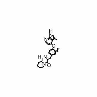 Cc1c[nH]c2nccc(Oc3ccc(CC(N)C(=O)N4CCCCC4)cc3F)c12